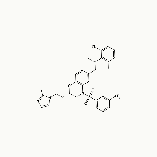 C/C(=C\c1ccc2c(c1)N(S(=O)(=O)c1cccc(C(F)(F)F)c1)C[C@H](CCn1ccnc1C)O2)c1c(F)cccc1Cl